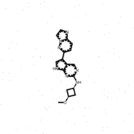 CO[C@H]1C[C@@H](Nc2ncc3c(-c4ccc5nccn5n4)c[nH]c3n2)C1